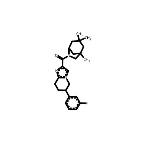 CC1(C)CC2CC(C)(CN2C(=O)c2cn3c(n2)CCC(c2cccc(F)c2)C3)C1